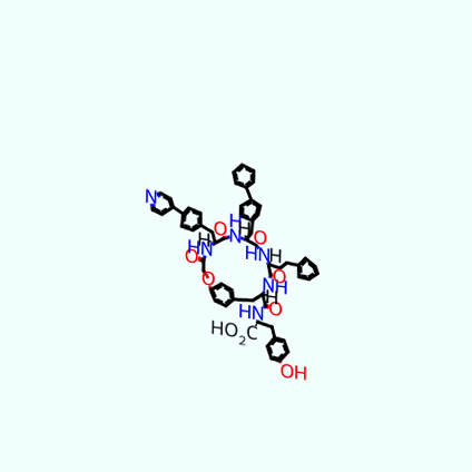 O=C1COc2ccc(cc2)C[C@@H](C(=O)N[C@H](Cc2ccc(O)cc2)C(=O)O)NC(=O)[C@H](CCc2ccccc2)NC(=O)[C@@H](Cc2ccc(-c3ccccc3)cc2)NC(=O)[C@H](Cc2ccc(-c3ccncc3)cc2)N1